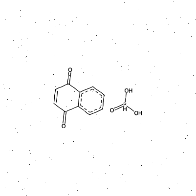 O=C1C=CC(=O)c2ccccc21.O=[PH](O)O